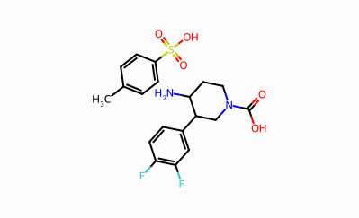 Cc1ccc(S(=O)(=O)O)cc1.NC1CCN(C(=O)O)CC1c1ccc(F)c(F)c1